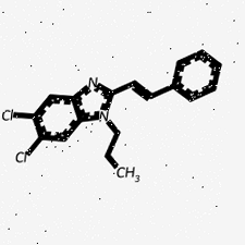 CCCn1c(/C=C/c2ccccc2)nc2cc(Cl)c(Cl)cc21